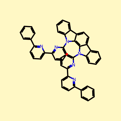 c1ccc(-c2cccc(-c3cccc(-n4c5ccccc5c5ccc6c7ccccc7n(-c7cccc(-c8cccc(-c9ccccc9)n8)n7)c6c54)n3)n2)cc1